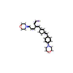 I\C=C/C(/C=C\C=[N+]1CCOCC1)=C/C1=CC(=C/c2ccc(N3CCOCC3)cc2)/CC1